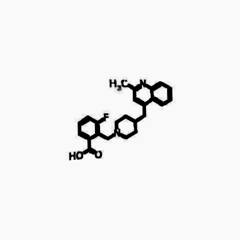 Cc1cc(CC2CCN(Cc3c(F)cccc3C(=O)O)CC2)c2ccccc2n1